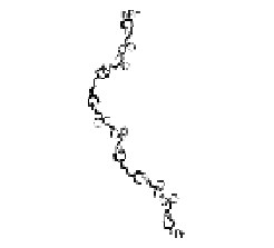 CCCC1CCN(CCC(=O)OCOC(=O)CCN2CCC(CCCC3CCN(CCC(=O)OCCOC(=O)CCN4CCC(CCCC5CCN(CCC(=O)OCOC(=O)CCN6CCC(CCC)CC6)CC5)CC4)CC3)CC2)CC1